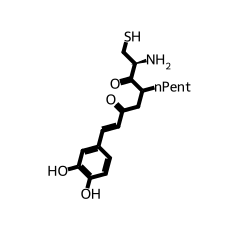 CCCCCC(CC(=O)/C=C/c1ccc(O)c(O)c1)C(=O)[C@H](N)CS